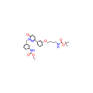 CCOC(=O)Nc1cccc(Cn2nc(-c3cccc(OCCCCNC(=O)OC(C)(C)C)c3)ccc2=O)c1